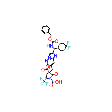 O=C(NC(c1cn2ncc(CC3(C(=O)O)C[C@@H](C(F)(F)F)N(C(=O)O)C3=O)cc2n1)C1CCC(F)(F)CC1)OCc1ccccc1